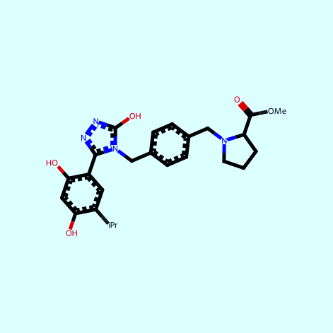 COC(=O)C1CCCN1Cc1ccc(Cn2c(O)nnc2-c2cc(C(C)C)c(O)cc2O)cc1